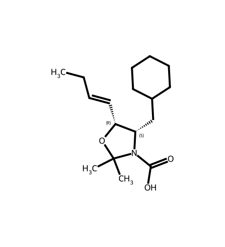 CCC=C[C@H]1OC(C)(C)N(C(=O)O)[C@H]1CC1CCCCC1